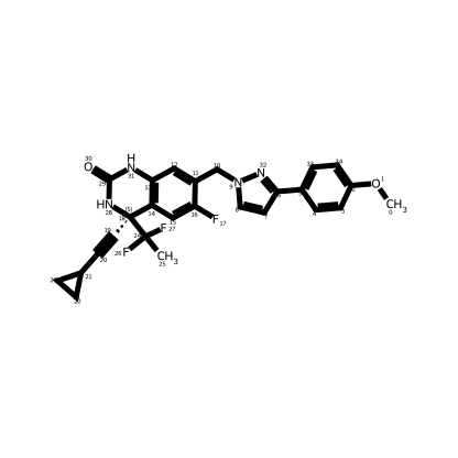 COc1ccc(-c2ccn(Cc3cc4c(cc3F)[C@@](C#CC3CC3)(C(C)(F)F)NC(=O)N4)n2)cc1